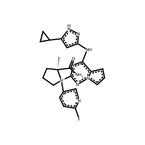 C[C@@]1(C(N)=O)CCC[N+]1(c1ccc(F)nc1)c1nc(Nc2cc(C3CC3)[nH]n2)c2cccn2n1